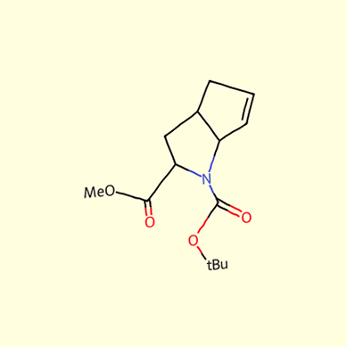 COC(=O)C1CC2CC=CC2N1C(=O)OC(C)(C)C